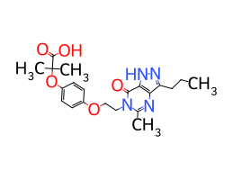 CCCc1n[nH]c2c(=O)n(CCOc3ccc(OC(C)(C)C(=O)O)cc3)c(C)nc12